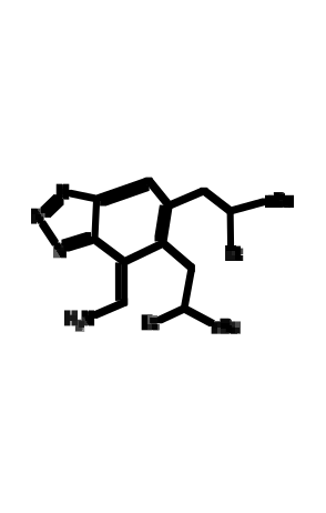 CCCCC(CC)Cc1cc2c(c(=CN)c1CC(CC)CCCC)=NN=N2